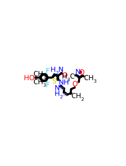 C=C(/C=C\C=C(/N)Nc1sc(-c2c(F)cc(C(C)(C)O)cc2F)cc1C(N)=O)CCOCc1c(C)noc1C